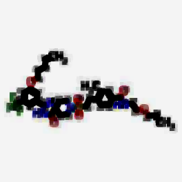 C=CCCCOc1cc(C2=NC3(CCN(S(=O)(=O)CCc4ccc(C(=O)NCCOCC=C)cc4C)CC3)C(=O)N2)cc(C(F)(F)F)c1